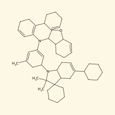 CC1=CC(N(C2=C(C3C=CCCC3)CCC=C2)C2COC3C=CCCC32)=CC(N2C3CC=C(C4CCCCC4)CC3C3(CCCCC3)C2(C)C)C1